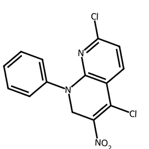 O=[N+]([O-])C1=C(Cl)c2ccc(Cl)nc2N(c2ccccc2)C1